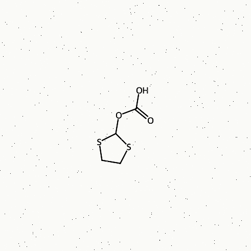 O=C(O)OC1SCCS1